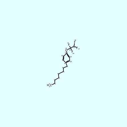 CCCCCCCCc1ccc(OC(F)(F)C(F)F)cc1